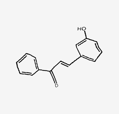 O=C(C=Cc1cccc(O)c1)c1ccccc1